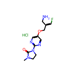 CN1CCN(c2ncc(OC/C(=C/F)CN)cn2)C1=O.Cl